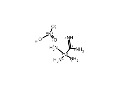 N=C(N)[N+](N)(N)N.O=[N+]([O-])[O-]